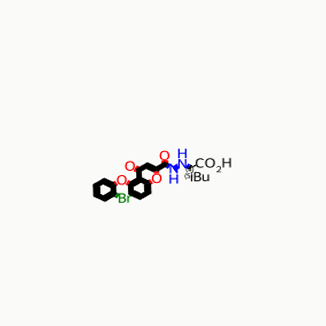 CC[C@H](C)[C@H](NNC(=O)c1cc(=O)c2c(Oc3ccccc3Br)cccc2o1)C(=O)O